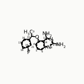 CC(Oc1cccc2nc(N)nc(N)c12)c1cccc(F)c1